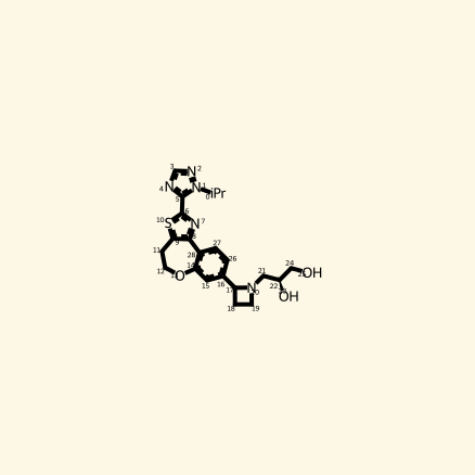 CC(C)n1ncnc1-c1nc2c(s1)CCOc1cc(C3CCN3C[C@H](O)CO)ccc1-2